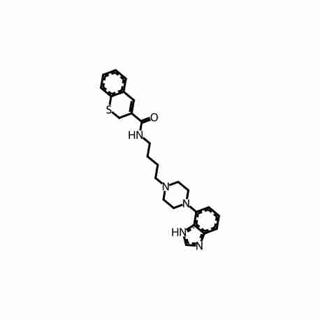 O=C(NCCCCN1CCN(c2cccc3nc[nH]c23)CC1)C1=Cc2ccccc2SC1